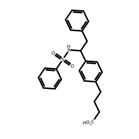 O=C(O)CCCc1ccc(C(Cc2ccccc2)NS(=O)(=O)c2ccccc2)cc1